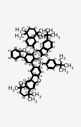 CC(C)(C)c1ccc(N2B3c4sc5ccc(C(C)(C)C)cc5c4N(c4ccc5c(c4)C(C)(C)CCC5(C)C)c4c3c(cc3c4oc4ccccc43)-c3cc4c(cc32)oc2cc3c(cc24)C(C)(C)CCC3(C)C)cc1